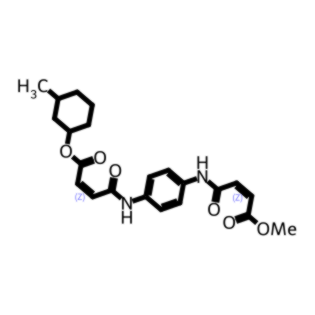 COC(=O)/C=C\C(=O)Nc1ccc(NC(=O)/C=C\C(=O)OC2CCCC(C)C2)cc1